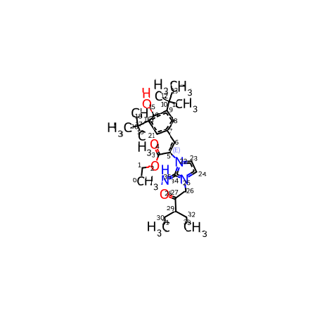 CCOC(=O)/C(=C\c1cc(C(C)(C)C)c(O)c(C(C)(C)C)c1)n1ccn(CC(=O)C(CC)CC)c1=N